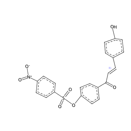 O=C(/C=C/c1ccc(O)cc1)c1ccc(OS(=O)(=O)c2ccc([N+](=O)[O-])cc2)cc1